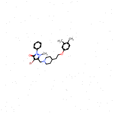 Cc1ccc(OCCC2CCN(Cc3c(Br)c(=O)n(-c4ccccc4)n3C)CC2)cc1C